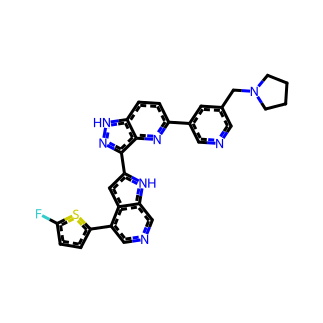 Fc1ccc(-c2cncc3[nH]c(-c4n[nH]c5ccc(-c6cncc(CN7CCCC7)c6)nc45)cc23)s1